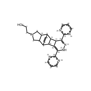 OCCN1CC2C3C=CC(C2C1)C1C2C(c4ncccn4)=NNC(c4ncccn4)=C2C31